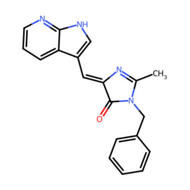 CC1=NC(=Cc2c[nH]c3ncccc23)C(=O)N1Cc1ccccc1